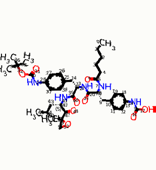 CCCCCC(=O)N[C@H](Cc1ccc(NC(=O)O)cc1)C(=O)N[C@@H](Cc1ccc(NC(=O)OC(C)(C)C)cc1)C(=O)N[C@@H](CC(C)C)C(=O)[C@@]1(C)CO1